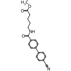 COC(=O)CCCCNC(=O)c1ccc(-c2ccc(C#N)cc2)cc1